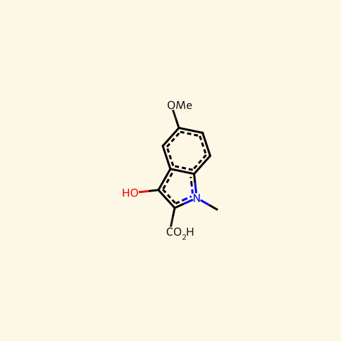 COc1ccc2c(c1)c(O)c(C(=O)O)n2C